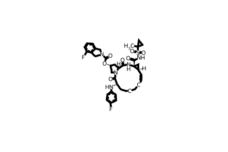 CC1(S(=O)(=O)NC(=O)[C@@]23C[C@H]2/C=C\CCCCC[C@H](Nc2ccc(F)cc2)C(=O)N2C[C@H](OC(=O)N4Cc5cccc(F)c5C4)C[C@H]2C(=O)N3)CC1